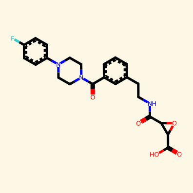 O=C(O)C1OC1C(=O)NCCc1cccc(C(=O)N2CCN(c3ccc(F)cc3)CC2)c1